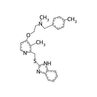 Cc1ccc(CN(C)CCOc2ccnc(CSc3nc4ccccc4[nH]3)c2C)cc1